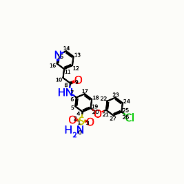 NS(=O)(=O)c1cc(NC(=O)Cc2cccnc2)ccc1Oc1cccc(Cl)c1